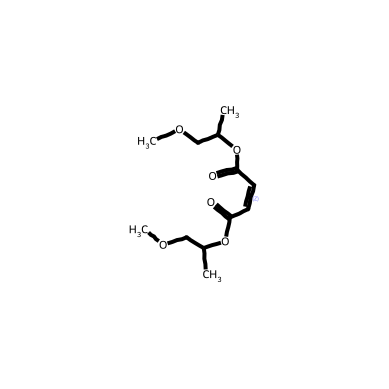 COCC(C)OC(=O)/C=C\C(=O)OC(C)COC